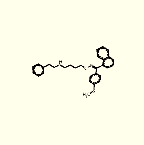 CSc1ccc(C(=NOCCCCNCCc2ccccc2)c2cccc3ccccc23)cc1